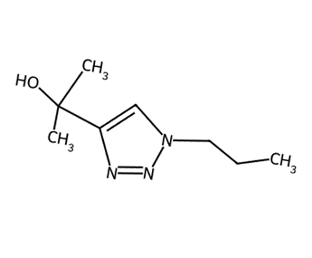 CCCn1cc(C(C)(C)O)nn1